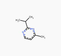 Cc1c[c]nc(C(C)C)n1